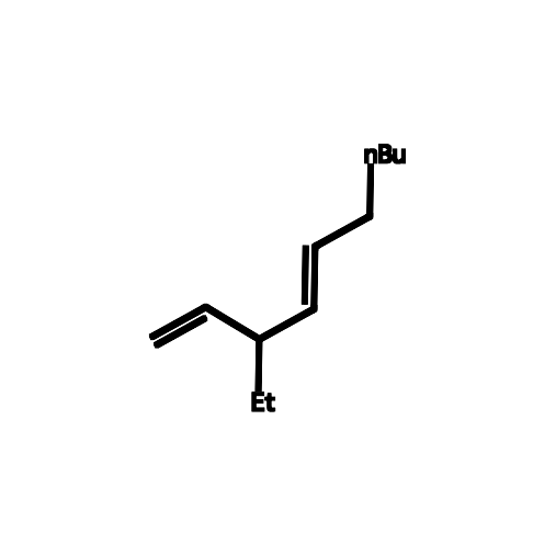 C=CC(C=CCCCCC)CC